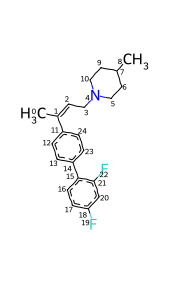 C/C(=C/CN1CCC(C)CC1)c1ccc(-c2ccc(F)cc2F)cc1